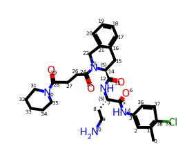 Cc1cc(NC(=O)[C@H](CCN)NC(=O)[C@@H]2Cc3ccccc3CN2C(=O)CCC(=O)N2CCCCC2)ccc1Cl